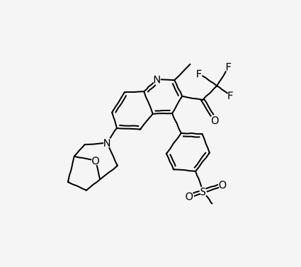 Cc1nc2ccc(N3CC4CCC(C3)O4)cc2c(-c2ccc(S(C)(=O)=O)cc2)c1C(=O)C(F)(F)F